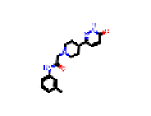 Cc1cccc(NC(=O)CN2CCC(c3ccc(=O)[nH]n3)CC2)c1